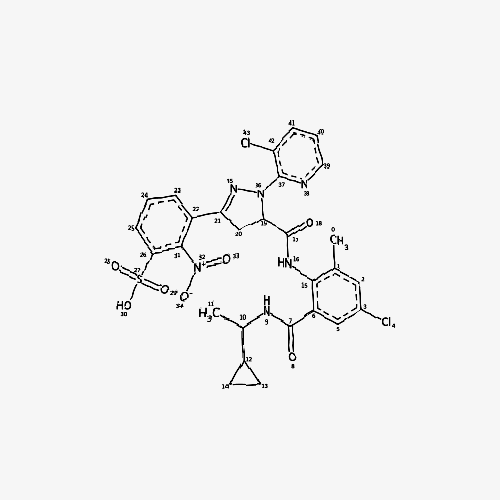 Cc1cc(Cl)cc(C(=O)NC(C)C2CC2)c1NC(=O)C1CC(c2cccc(S(=O)(=O)O)c2[N+](=O)[O-])=NN1c1ncccc1Cl